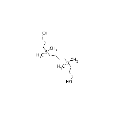 C[Si](C)(CCCO)CCCC[Si](C)(C)CCCO